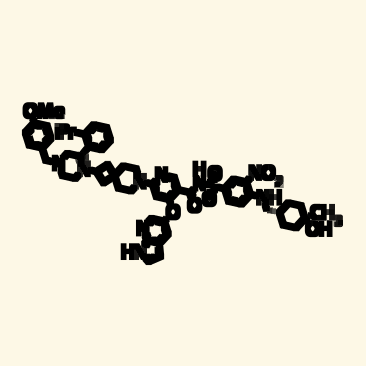 COc1ccc(CN2CCN(C3CC4(CCN(c5cc(Oc6cnc7[nH]ccc7c6)c(C(=O)NS(=O)(=O)c6ccc(NC[C@H]7CC[C@](C)(O)CC7)c([N+](=O)[O-])c6)cn5)CC4)C3)[C@H](c3ccccc3C(C)C)C2)cc1